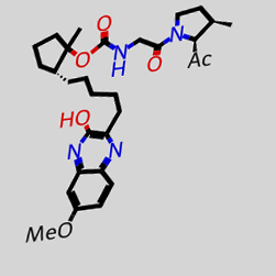 COc1ccc2nc(CCCCC[C@@H]3CCCC3(C)OC(=O)NCC(=O)N3CC[C@@H](C)[C@H]3C(C)=O)c(O)nc2c1